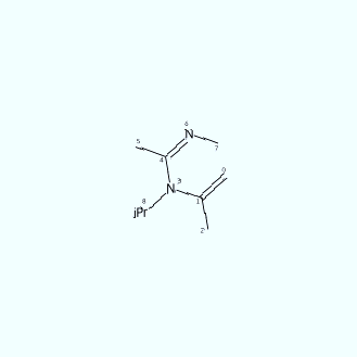 C=C(C)N(/C(C)=N\C)C(C)C